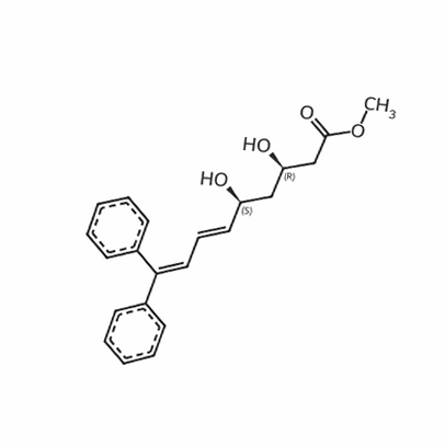 COC(=O)C[C@H](O)C[C@H](O)C=CC=C(c1ccccc1)c1ccccc1